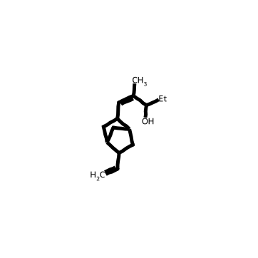 C=CC1CC2CC1CC2C=C(C)C(O)CC